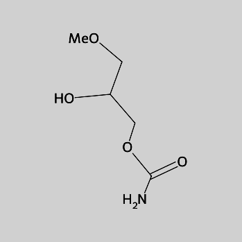 COCC(O)COC(N)=O